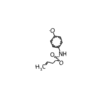 C=CCS(=O)(=O)Nc1ccc([O])cc1